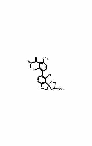 CO[C@@H]1CC[C@@]2(CNc3ncc(-c4ccc(N)c(C(=O)N(C)C)c4F)c(Cl)c32)C1